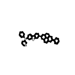 C1=C(c2ccccc2)Cc2ccc3c4c(ccc1c24)C=C(c1ccc2c(c1)oc1cc(N(c4ccccc4)c4cccnc4)ccc12)C3